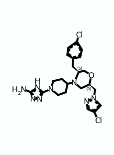 Nc1nnc(N2CCC(N3C[C@H](Cn4cc(Cl)cn4)OC[C@@H]3Cc3ccc(Cl)cc3)CC2)[nH]1